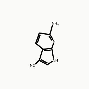 N#Cc1c[nH]c2nc(N)ccc12